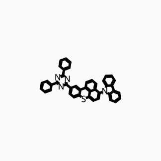 c1ccc(-c2nc(-c3ccccc3)nc(-c3ccc4c(c3)-c3cccc5c(-n6c7ccccc7c7ccccc76)ccc(c35)S4)n2)cc1